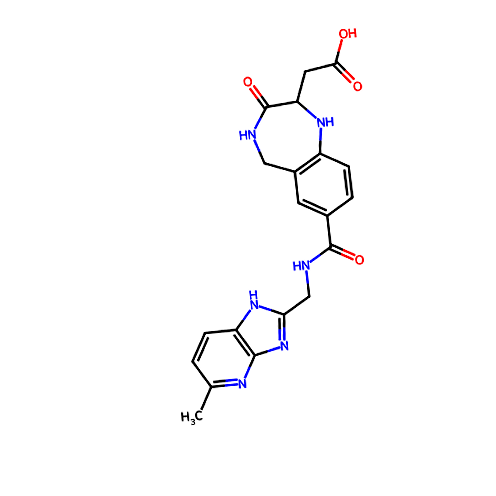 Cc1ccc2[nH]c(CNC(=O)c3ccc4c(c3)CNC(=O)C(CC(=O)O)N4)nc2n1